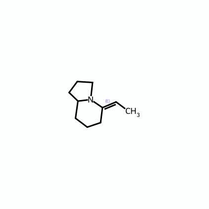 C/C=C1\CCCC2CCCN12